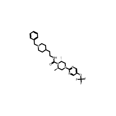 C[C@@H]1CN(c2ncc(OC(F)(F)F)cn2)C[C@@H](C)N1C(=O)NCCC1CCN(Cc2ccccc2)CC1